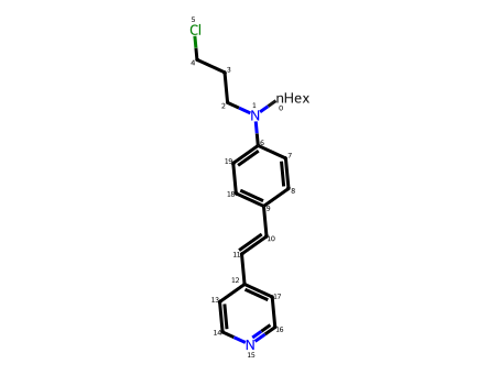 CCCCCCN(CCCCl)c1ccc(C=Cc2ccncc2)cc1